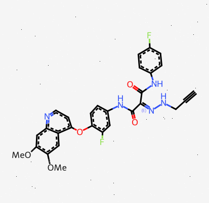 C#CCN/N=C(\C(=O)Nc1ccc(F)cc1)C(=O)Nc1ccc(Oc2ccnc3cc(OC)c(OC)cc23)c(F)c1